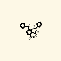 O=C(c1ccccc1)c1ccc([N+](=O)[O-])c(C(=O)O)c1NCc1ccccc1